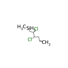 C=CCC(Cl)C(Cl)C[SiH2]C